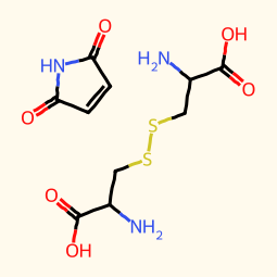 NC(CSSCC(N)C(=O)O)C(=O)O.O=C1C=CC(=O)N1